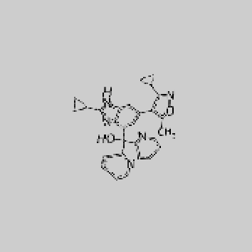 Cc1onc(C2CC2)c1-c1cc(C(O)(c2ccccn2)c2ccccn2)c2nc(C3CC3)[nH]c2c1